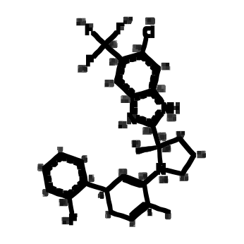 CC1=CCC(c2ccccc2F)[C]=C1N1CCC[C@@]1(C)c1nc2cc(C(F)(F)F)c(Cl)cc2[nH]1